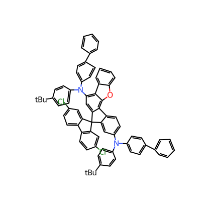 CC(C)(C)c1ccc(N(c2ccc(-c3ccccc3)cc2)c2ccc3c(c2)C2(c4cc(Cl)ccc4-c4ccc(Cl)cc42)c2cc(N(c4ccc(-c5ccccc5)cc4)c4ccc(C(C)(C)C)cc4)c4c(oc5ccccc54)c2-3)cc1